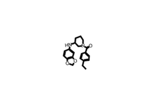 CCc1ccc(C(=O)N2CCCC(Nc3ccc4c(c3)OCO4)C2)cc1